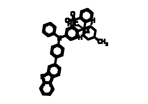 C[C@H]1C[C@@H]2C[C@@H](C)C[C@H](C1)C21c2ccccc2S(=O)(=O)c2cc(N(c3ccccc3)c3ccc(-c4ccc5c(c4)sc4ccccc45)cc3)ccc21